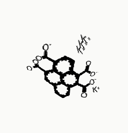 O=C([O-])c1c(C(=O)[O-])c2ccc(C(=O)[O-])c3c(C(=O)[O-])cc4cccc1c4c23.[K+].[K+].[K+].[K+]